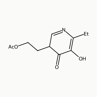 CCC1=C(O)C(=O)C(CCOC(C)=O)C=N1